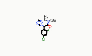 CN(C(=O)C(c1ccc(Cl)cc1Cl)n1cncn1)C(C)(C)C